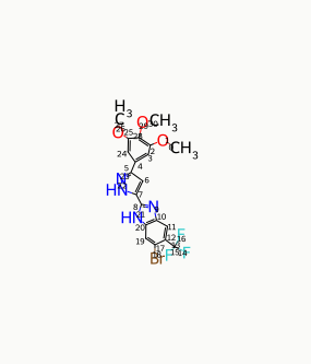 COc1cc(-c2cc(-c3nc4cc(C(F)(F)F)c(Br)cc4[nH]3)[nH]n2)cc(OC)c1OC